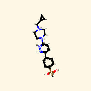 CS(=O)(=O)c1ccc(-c2ccc(N3CCN(CC4CC4)CC3)nn2)cc1